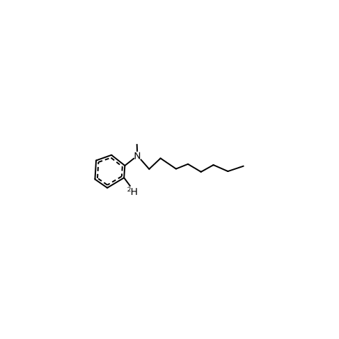 [2H]c1ccccc1N(C)CCCCCCCC